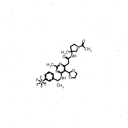 CC(=O)N1CCC(C)(NC(=O)Cc2nc(C)nc(N[C@H](C)c3cccc(S(F)(F)(F)(F)F)c3)c2C2OCCO2)C1